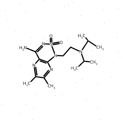 Cc1nc2c(nc1C)N(CCN(C(C)C)C(C)C)S(=O)(=O)N=C2N